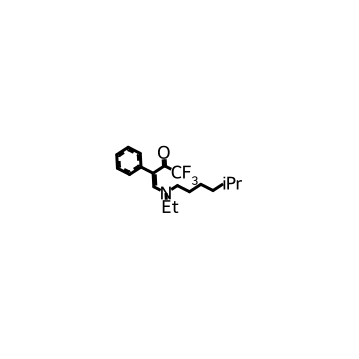 CCN(/C=C(\C(=O)C(F)(F)F)c1ccccc1)CCCCC(C)C